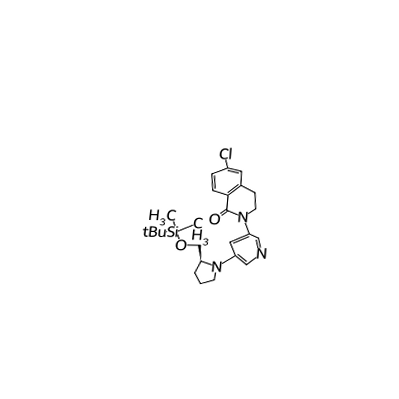 CC(C)(C)[Si](C)(C)OC[C@@H]1CCCN1c1cncc(N2CCc3cc(Cl)ccc3C2=O)c1